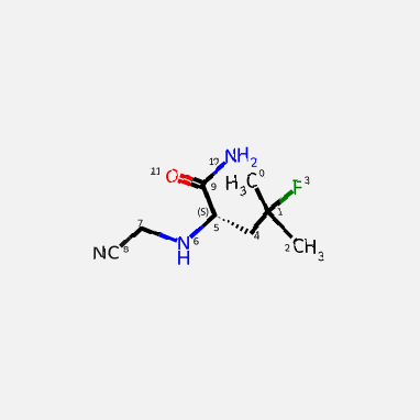 CC(C)(F)C[C@H](NCC#N)C(N)=O